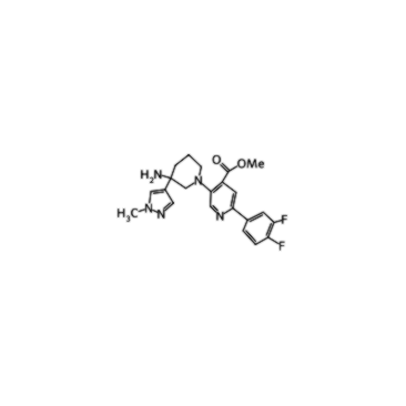 COC(=O)c1cc(-c2ccc(F)c(F)c2)ncc1N1CCCC(N)(c2cnn(C)c2)C1